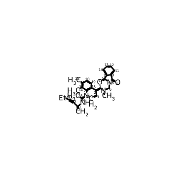 C=C/C(=C\N(C)CN1C(=O)c2ccccc2C1=O)c1ccc(C)c(C)c1/N=C(\C)NC(=C)C#CCC